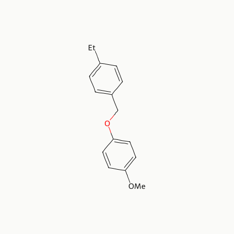 CCc1ccc(COc2ccc(OC)cc2)cc1